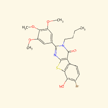 CCCCn1c(-c2cc(OC)c(OC)c(OC)c2)nc2sc3c(O)c(Br)ccc3c2c1=O